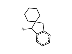 [2H]C1c2ccccc2CC12CCCCC2